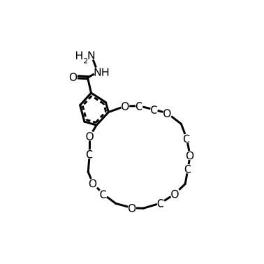 NNC(=O)c1ccc2c(c1)OCCOCCOCCOCCOCCOCCO2